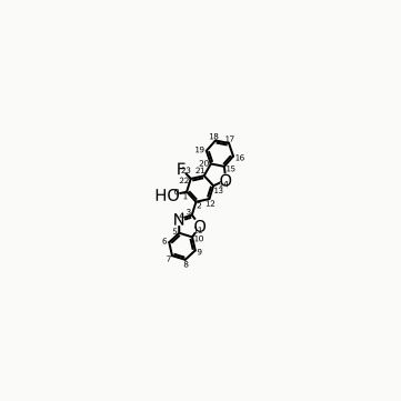 Oc1c(-c2nc3ccccc3o2)cc2oc3ccccc3c2c1F